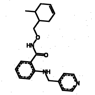 CC1CC=CCC1CONC(=O)c1ccccc1NCc1ccncc1